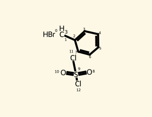 Br.Cc1ccccc1.O=S(=O)(Cl)Cl